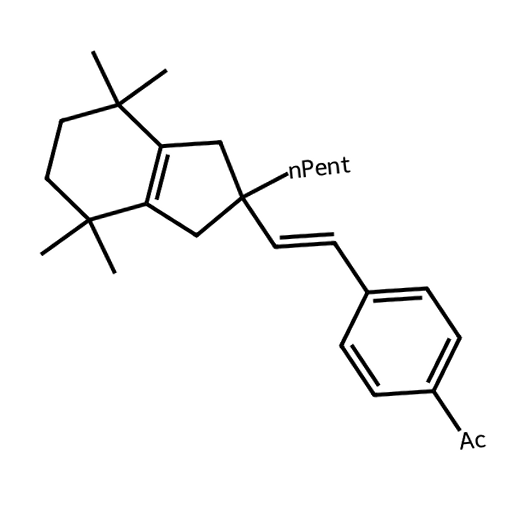 CCCCCC1(/C=C/c2ccc(C(C)=O)cc2)CC2=C(C1)C(C)(C)CCC2(C)C